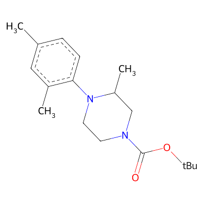 Cc1ccc(N2CCN(C(=O)OC(C)(C)C)CC2C)c(C)c1